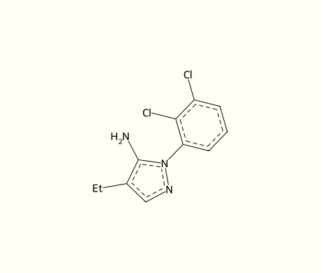 [CH2]Cc1cnn(-c2cccc(Cl)c2Cl)c1N